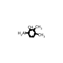 Cc1cc[c]([AlH2])c(C)c1C